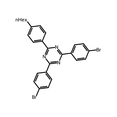 CCCCCCc1ccc(-c2nc(-c3ccc(Br)cc3)nc(-c3ccc(Br)cc3)n2)cc1